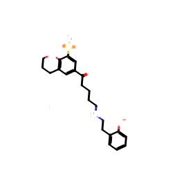 COc1ccccc1CCNCCCCC(=O)c1cc2c(c(S(N)(=O)=O)c1)OCCC2.Cl